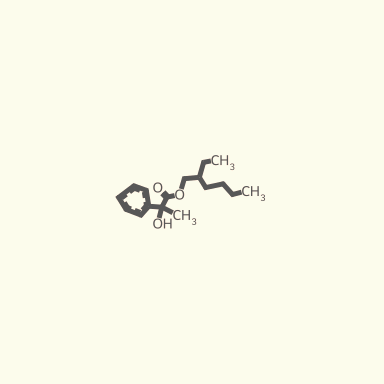 CCCCC(CC)COC(=O)C(C)(O)c1ccccc1